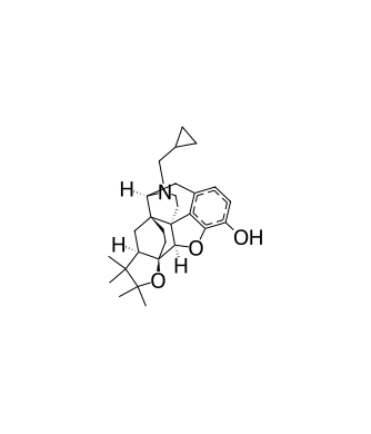 CC1(C)O[C@]23CC[C@@]4(C[C@@H]2C1(C)C)[C@H]1Cc2ccc(O)c5c2[C@@]4(CCN1CC1CC1)[C@H]3O5